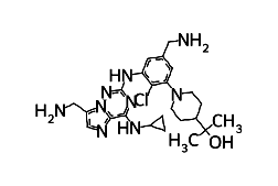 CC(C)(O)C1CCN(c2cc(CN)cc(Nc3nc(NC4CC4)c4ncc(CN)n4n3)c2Cl)CC1